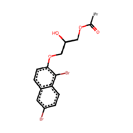 CC(C)C(=O)OCC(O)COc1ccc2cc(Br)ccc2c1Br